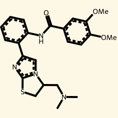 COc1ccc(C(=O)Nc2ccccc2-c2cn3c(n2)SCC3CN(C)C)cc1OC